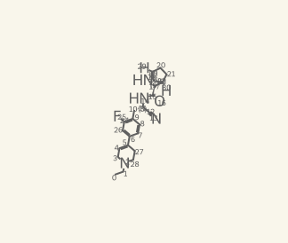 CCN1CC=C(c2ccc(C[C@@H](C#N)NC(=O)[C@H]3N[C@@H]4CC[C@H]3C4)c(F)c2)CC1